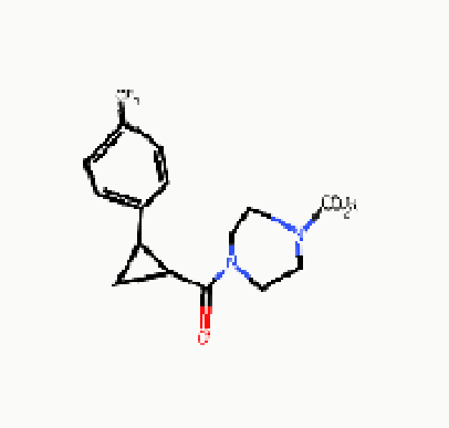 O=C(O)N1CCN(C(=O)C2CC2c2ccc(C(F)(F)F)cc2)CC1